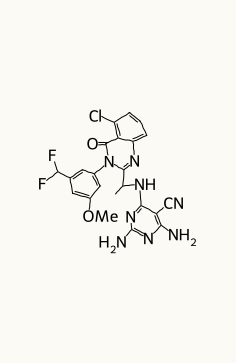 COc1cc(C(F)F)cc(-n2c(C(C)Nc3nc(N)nc(N)c3C#N)nc3cccc(Cl)c3c2=O)c1